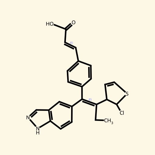 CC/C(=C(/c1ccc(/C=C/C(=O)O)cc1)c1ccc2[nH]ncc2c1)C1C=CSC1Cl